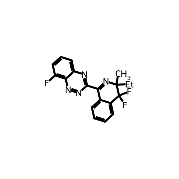 CCC1(C)N=C(c2nnc3c(F)cccc3n2)c2ccccc2C1(F)F